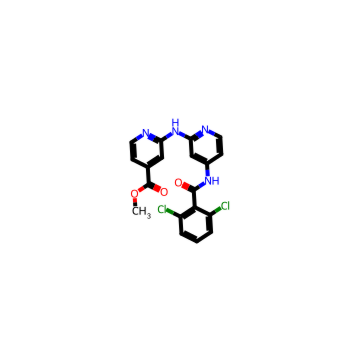 COC(=O)c1ccnc(Nc2cc(NC(=O)c3c(Cl)cccc3Cl)ccn2)c1